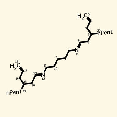 C=CCC(CC=NCCCCCN=CCC(CC=C)CCCCC)CCCCC